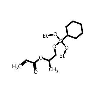 C=CC(=O)OC(C)CO[Si](OCC)(OCC)C1CCCCC1